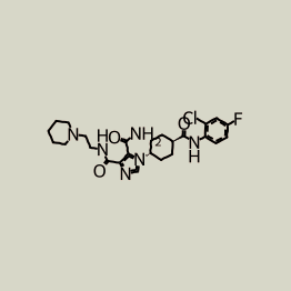 NC(=O)c1c(C(=O)NCCN2CCCCC2)ncn1[C@H]1CC[C@H](C(=O)Nc2ccc(F)cc2Cl)CC1